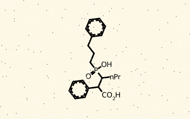 CCCC(C(C(=O)O)c1ccccc1)P(=O)(O)CCCc1ccccc1